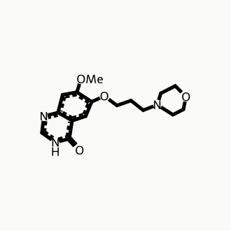 COc1cc2nc[nH]c(=O)c2cc1OCCCN1CCOCC1